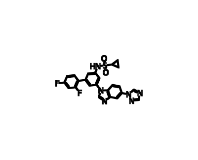 O=S(=O)(Nc1cc(-c2ccc(F)cc2F)cc(-n2cnc3cc(-n4cncn4)ccc32)c1)C1CC1